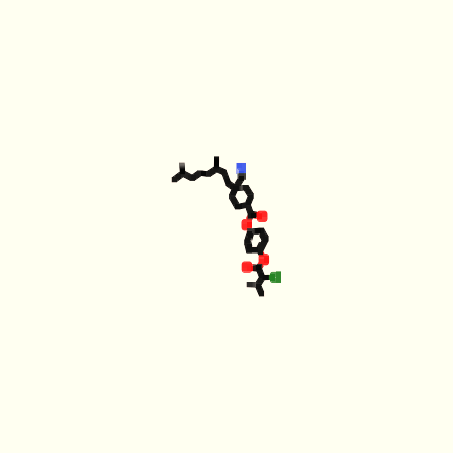 CC(C)CCCC(C)CCC1(C#N)CCC(C(=O)Oc2ccc(OC(=O)C(Cl)C(C)C)cc2)CC1